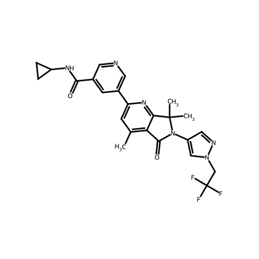 Cc1cc(-c2cncc(C(=O)NC3CC3)c2)nc2c1C(=O)N(c1cnn(CC(F)(F)F)c1)C2(C)C